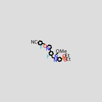 CCOP(OCC)c1ccc2nc(Cc3ccc(-c4cccc(OCc5ccc(C#N)cc5F)n4)cc3F)n(CCOC)c2c1